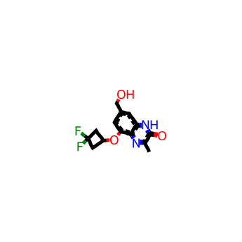 Cc1nc2c(OC3CC(F)(F)C3)cc(CO)cc2[nH]c1=O